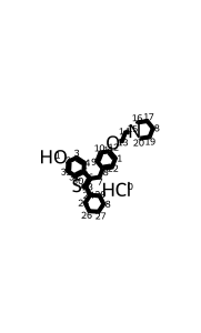 Cl.Oc1ccc2c(Cc3ccc(OCCN4CCCCC4)cc3)c(C3CCCCC3)sc2c1